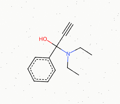 C#CC(O)(c1ccccc1)N(CC)CC